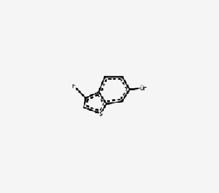 Fc1csc2cc(Br)ccc12